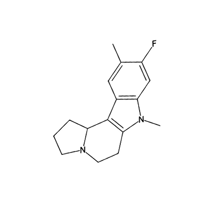 Cc1cc2c3c(n(C)c2cc1F)CCN1CCCC31